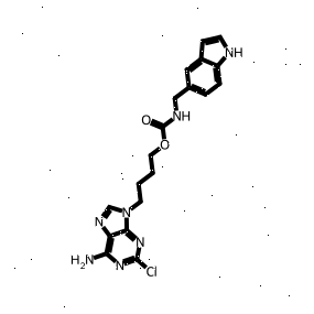 Nc1nc(Cl)nc2c1ncn2CCCCOC(=O)NCc1ccc2[nH]ccc2c1